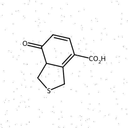 O=C(O)C1=C2CSCC2C(=O)C=C1